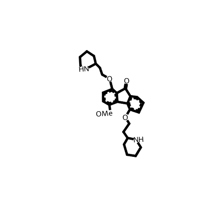 COc1ccc(OCCC2CCCCN2)c2c1-c1c(OCCC3CCCCN3)cccc1C2=O